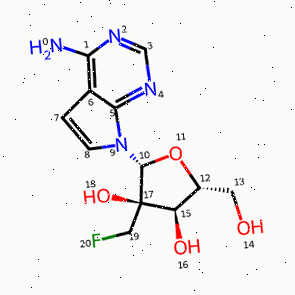 Nc1ncnc2c1ccn2[C@@H]1O[C@H](CO)[C@@H](O)[C@]1(O)CF